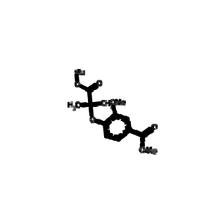 COC(=O)c1ccc(OC(C)(C)C(=O)OC(C)(C)C)c(OC)c1